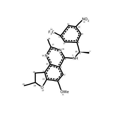 COc1cc2c(N[C@H](C)c3cc([N+](=O)[O-])cc(C(F)(F)F)c3)nc(C)nc2c2c1OC(C)C2